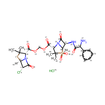 CC1(C)S[C@@H]2[C@@H](Cl)C(=O)N2[C@H]1C(=O)OCOC(=O)[C@@H]1N2C(=O)[C@@H](NC(=O)C(N)c3ccccc3)[C@H]2S(=O)(=O)C1(C)C.Cl